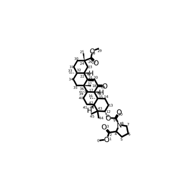 COC(=O)C1CCCN1C(=O)O[C@H]1CC[C@]2(C)[C@H]3C(=O)C=C4[C@H]5C[C@@](C)(C(=O)OC)CC[C@]5(C)CC[C@@]4(C)[C@]3(C)CC[C@H]2C1(C)C